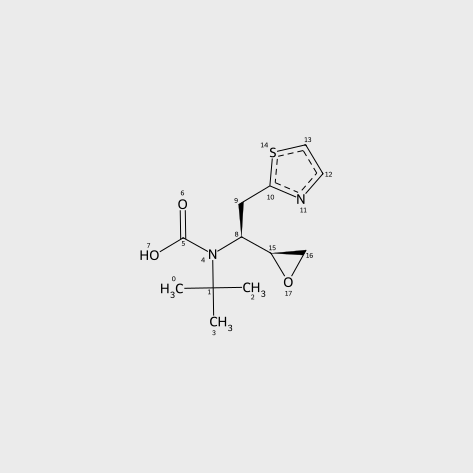 CC(C)(C)N(C(=O)O)[C@@H](Cc1nccs1)[C@H]1CO1